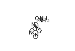 NNC(=O)c1cnc(-c2ccnc(-c3ccccn3)c2-c2ccccn2)nc1